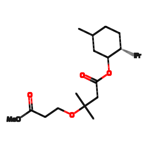 COC(=O)CCOC(C)(C)CC(=O)OC1CC(C)CC[C@@H]1C(C)C